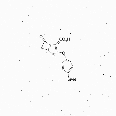 CSc1ccc(OC2=C(C(=O)O)N3C(=O)CC3S2)cc1